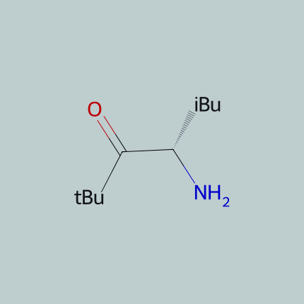 CCC(C)[C@H](N)C(=O)C(C)(C)C